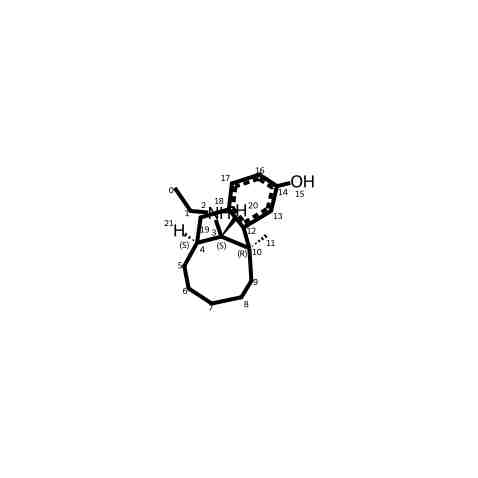 CCN[C@H]1[C@H]2CCCCC[C@]1(C)c1cc(O)ccc1C2